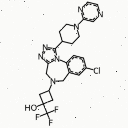 OC1(C(F)(F)F)CC(N2Cc3cc(Cl)ccc3-n3c(nnc3C3CCN(c4cnccn4)CC3)C2)C1